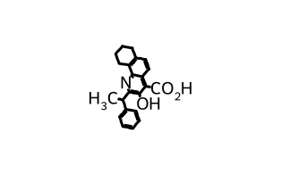 CC(c1ccccc1)c1nc2c3c(ccc2c(C(=O)O)c1O)CCCC3